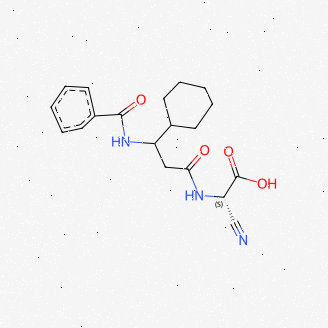 N#C[C@H](NC(=O)CC(NC(=O)c1ccccc1)C1CCCCC1)C(=O)O